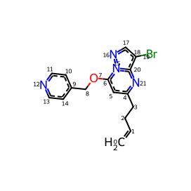 C=CCCc1cc(OCc2ccncc2)n2ncc(Br)c2n1